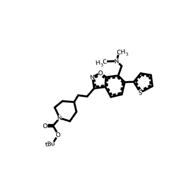 CN(C)Cc1c(-c2cccs2)ccc2c(CCC3CCN(C(=O)OC(C)(C)C)CC3)noc12